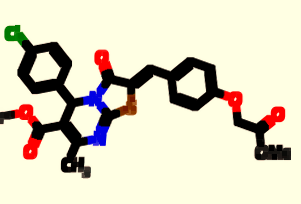 COC(=O)COc1ccc(/C=c2\sc3n(c2=O)C(c2ccc(Cl)cc2)C(C(=O)OC(C)C)=C(C)N=3)cc1